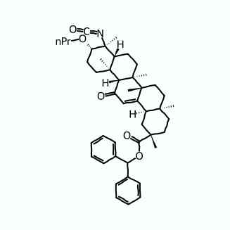 CCCO[C@H]1CC[C@@]2(C)[C@@H](CC[C@]3(C)[C@@H]2C(=O)C=C2[C@@H]4C[C@@](C)(C(=O)OC(c5ccccc5)c5ccccc5)CC[C@]4(C)CC[C@]23C)[C@]1(C)N=C=O